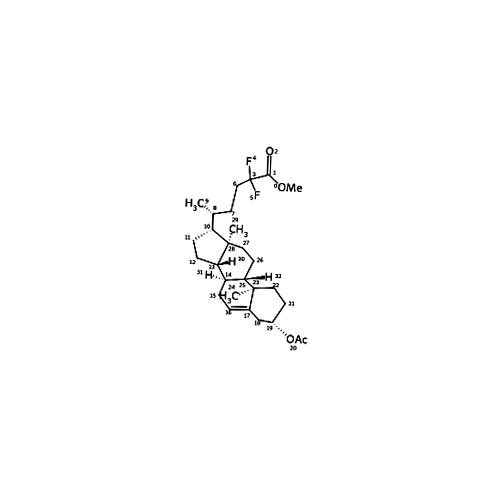 COC(=O)C(F)(F)CC[C@@H](C)[C@H]1CC[C@H]2[C@@H]3CC=C4C[C@@H](OC(C)=O)CC[C@]4(C)[C@H]3CC[C@]12C